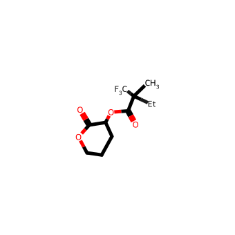 CCC(C)(C(=O)OC1CCCOC1=O)C(F)(F)F